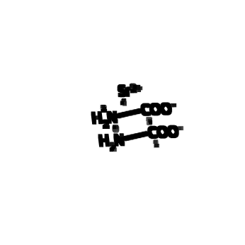 NC(=O)[O-].NC(=O)[O-].[Sr+2]